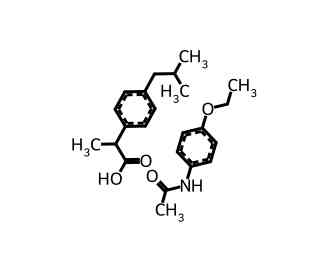 CC(C)Cc1ccc(C(C)C(=O)O)cc1.CCOc1ccc(NC(C)=O)cc1